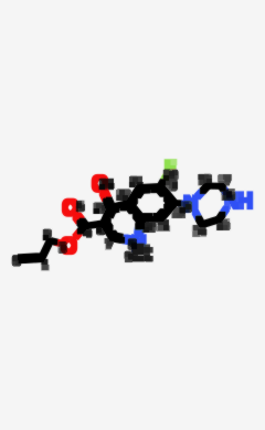 C=CCOC(=O)c1cn(CC)c2cc(N3CCNCC3)c(F)cc2c1=O